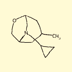 CC1CC2CN(C3CC3)C(CO2)C1